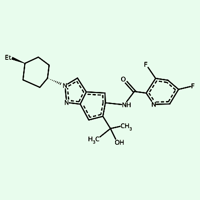 CC[C@H]1CC[C@H](n2cc3cc(NC(=O)c4ncc(F)cc4F)c(C(C)(C)O)cc3n2)CC1